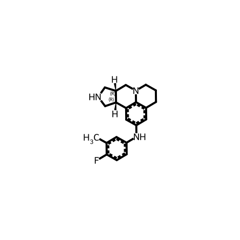 Cc1cc(Nc2cc3c4c(c2)[C@@H]2CNC[C@@H]2CN4CCC3)ccc1F